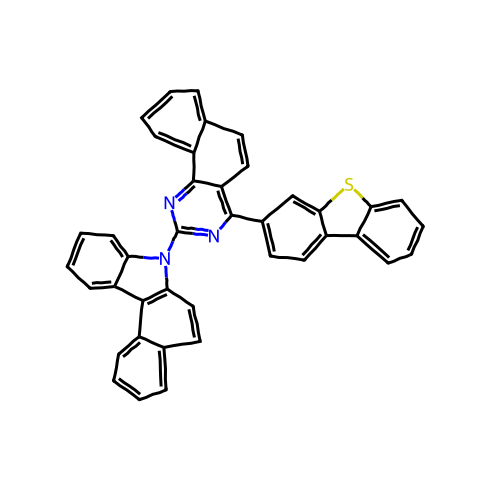 c1ccc2c(c1)ccc1c(-c3ccc4c(c3)sc3ccccc34)nc(-n3c4ccccc4c4c5ccccc5ccc43)nc12